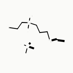 CC[N+](CC)(CCCl)CCCN=C=S.O=S(=O)([O-])C(F)(F)F